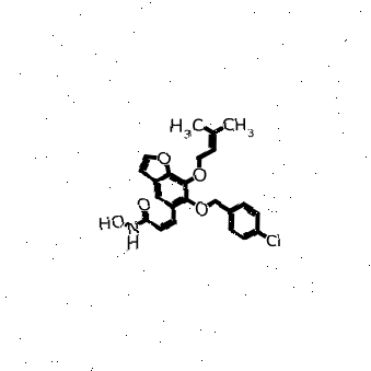 CC(C)=CCOc1c(OCc2ccc(Cl)cc2)c(/C=C\C(=O)NO)cc2ccoc12